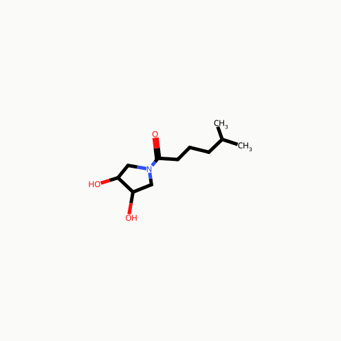 CC(C)CCCC(=O)N1CC(O)C(O)C1